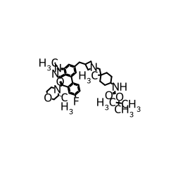 C[C@@H]1COCCN1C(=O)c1cc(F)ccc1-c1cc(CC2CN(CC3(C)CCC(NC(=O)OC(C)(C)C)CC3)C2)cc2c1cnn2C